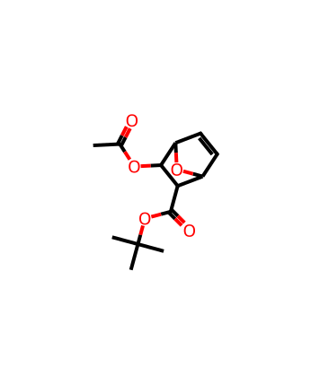 CC(=O)OC1C2C=CC(O2)C1C(=O)OC(C)(C)C